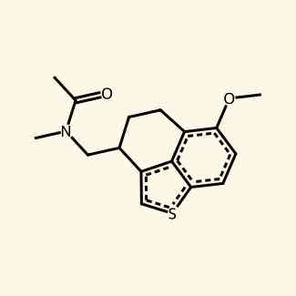 COc1ccc2scc3c2c1CCC3CN(C)C(C)=O